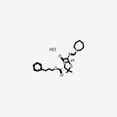 CC1(C)S[C@@H]2[C@H](N=CN3CCCCCC3)C(=O)N2[C@H]1C(=O)OCCCc1ccccc1.Cl